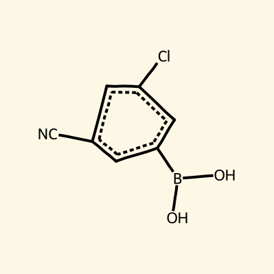 N#Cc1cc(Cl)cc(B(O)O)c1